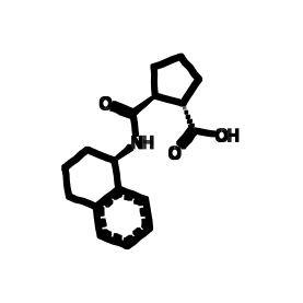 O=C(O)[C@H]1CCC[C@@H]1C(=O)N[C@@H]1CCCc2ccccc21